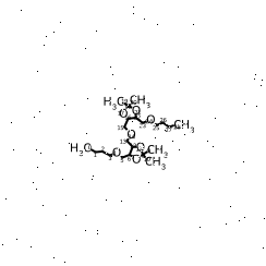 CCCCOCC1OC(C)(C)OC1COCC1OC(C)(C)OC1COCCCC